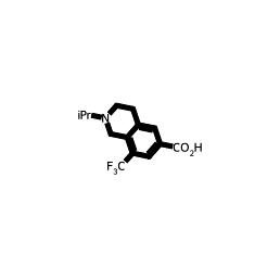 CC(C)N1CCc2cc(C(=O)O)cc(C(F)(F)F)c2C1